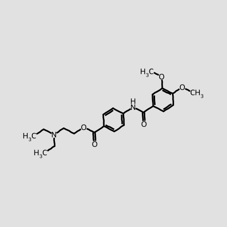 CCN(CC)CCOC(=O)c1ccc(NC(=O)c2ccc(OC)c(OC)c2)cc1